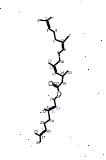 CC(C)=CCCC(C)=CCCC(C)=CC(C)CC(=O)OC/C=C(\C)CCC=C(C)C